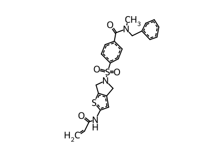 C=CC(=O)Nc1cc2c(s1)CN(S(=O)(=O)c1ccc(C(=O)N(C)Cc3ccccc3)cc1)C2